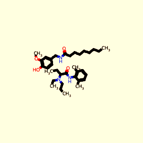 CCCCCCCCC(=O)NCc1ccc(O)c(OC)c1.CCCN(CC)C(CC)C(=O)Nc1c(C)cccc1C